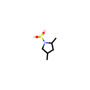 CC1CC(C)N([SH](=O)=O)C1